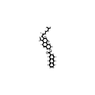 CC(C)CCC[C@@H](C)[C@H]1CCC2C3CC=C4CC(OC(=O)c5ccc6cc7ccccc7cc6c5)CC[C@]4(C)C3CC[C@@]21C